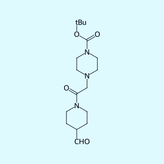 CC(C)(C)OC(=O)N1CCN(CC(=O)N2CCC(C=O)CC2)CC1